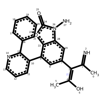 CC(=N)/C(=C(/C)O)c1cc(-c2cccnc2-c2ccccc2)c2oc(=O)n(N)c2c1